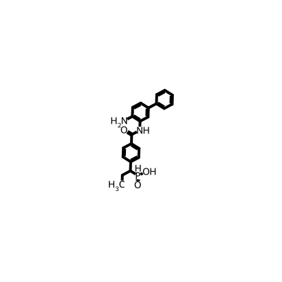 CCC(c1ccc(C(=O)Nc2cc(-c3ccccc3)ccc2N)cc1)[PH](=O)O